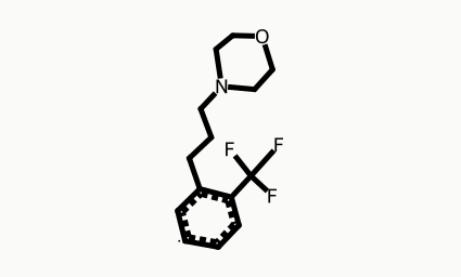 FC(F)(F)c1cc[c]cc1CCCN1CCOCC1